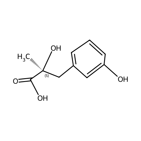 C[C@](O)(Cc1cccc(O)c1)C(=O)O